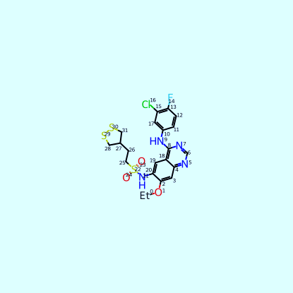 CCOc1cc2ncnc(Nc3ccc(F)c(Cl)c3)c2cc1NS(=O)(=O)CCC1CSSC1